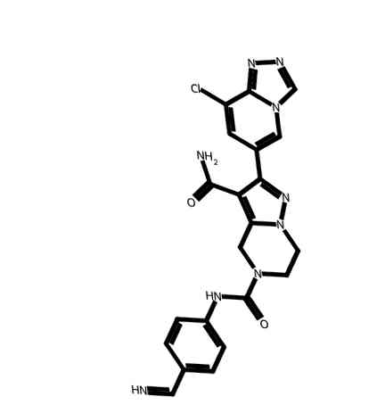 N=Cc1ccc(NC(=O)N2CCn3nc(-c4cc(Cl)c5nncn5c4)c(C(N)=O)c3C2)cc1